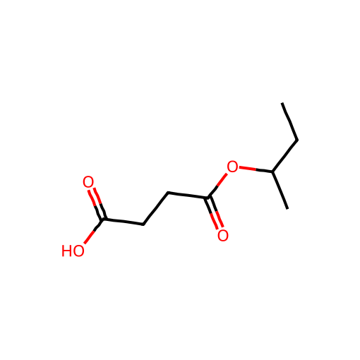 CCC(C)OC(=O)CCC(=O)O